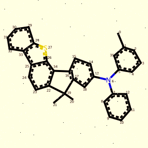 Cc1cccc(N(c2ccccc2)c2ccc3c(c2)C(C)(C)c2ccc4c(sc5ccccc54)c2-3)c1